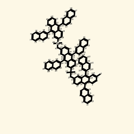 Cc1ccc2c(-c3ccc4ccccc4c3)c3ccc(CC(C)(C)c4ccc5c(-c6ccc7ccccc7c6)c6ccc(C[Si](C)(C)c7ccc8c(-c9ccc%10ccccc%10c9)c9ccccc9c(-c9ccc%10ccccc%10c9)c8c7)cc6c(-c6ccc7ccccc7c6)c5c4)cc3c(-c3ccc4ccccc4c3)c2c1